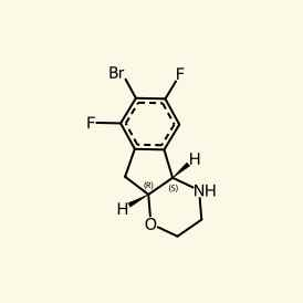 Fc1cc2c(c(F)c1Br)C[C@H]1OCCN[C@@H]21